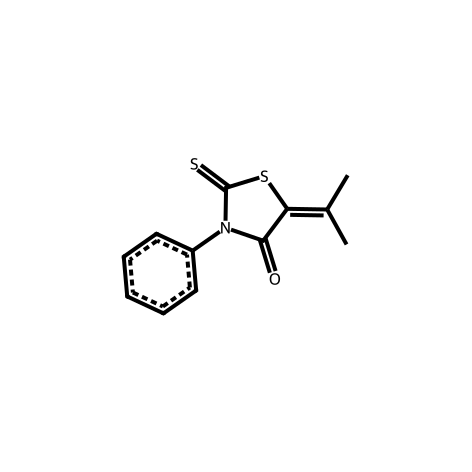 CC(C)=C1SC(=S)N(c2ccccc2)C1=O